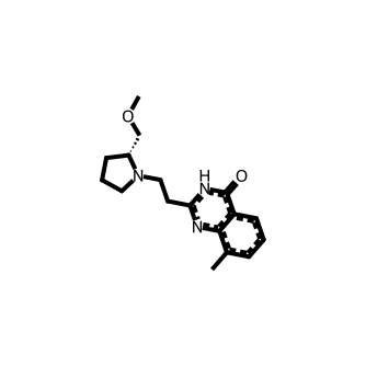 COC[C@H]1CCCN1CCc1nc2c(C)cccc2c(=O)[nH]1